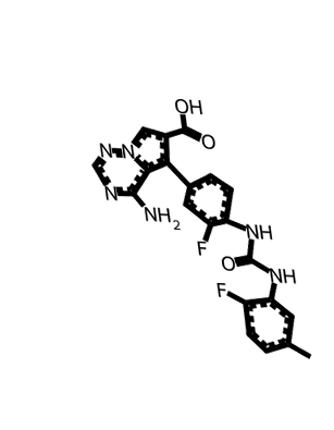 Cc1ccc(F)c(NC(=O)Nc2ccc(-c3c(C(=O)O)cn4ncnc(N)c34)cc2F)c1